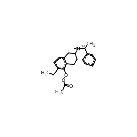 CCc1ccc2c(c1OOC(C)=O)CCC(N[C@@H](C)c1ccccc1)C2